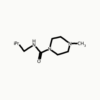 CC(C)CNC(=O)N1CCN(C)CC1